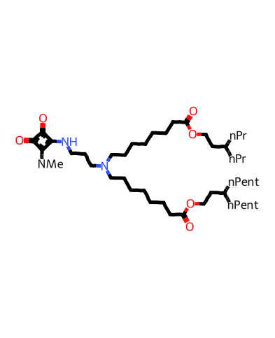 CCCCCC(CCCCC)CCOC(=O)CCCCCCCN(CCCCCCCC(=O)OCCC(CCC)CCC)CCCNc1c(NC)c(=O)c1=O